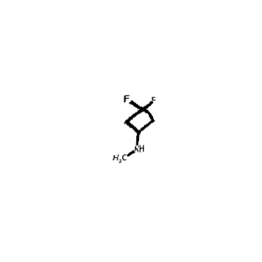 CNC1CC(F)(F)C1